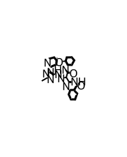 COc1ccccc1NC(=O)C(N=Nc1nc(C)nn1-c1ccccn1)c1nc2ccccc2c(=O)[nH]1